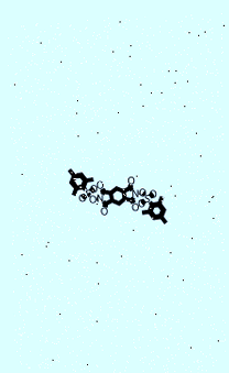 Cc1cc(C)c(S(=O)(=O)ON2C(=O)C3CC4C(=O)N(OS(=O)(=O)c5c(C)cc(C)cc5C)C(=O)C4CC3C2=O)c(C)c1